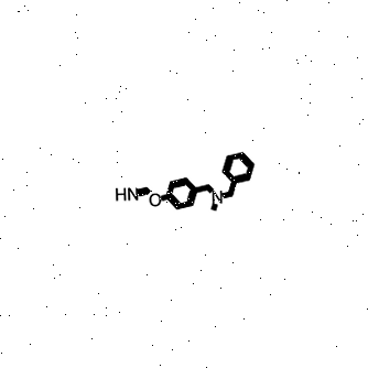 CN(Cc1ccccc1)Cc1ccc(OC=N)cc1